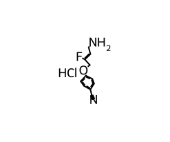 Cl.N#Cc1ccc(OCC(F)=CCN)cc1